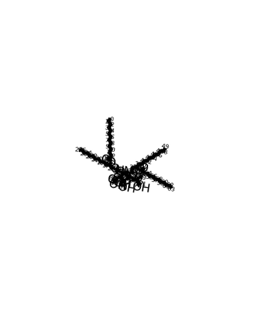 CCCCCCCCCCCCCC(=O)OC(CCCCCCCCCCC)COCOC1C(NC(=O)CC(CCCCCCCCCCC)OC(=O)CCCCCCCCCCC)C(OCC(OC)[C@H](C)O)OC(CO)C1OP(=O)(O)O